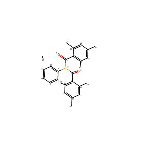 Cc1cc(C)c(C(=O)P(C(=O)c2c(C)cc(C)cc2C)c2ccccc2)c(C)c1.[Li]